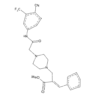 COC(=O)/C(=C/c1ccccc1)CN1CCN(CC(=O)Nc2ccc(C#N)c(C(F)(F)F)c2)CC1